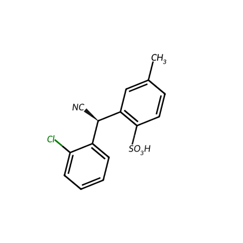 Cc1ccc(S(=O)(=O)O)c([C@H](C#N)c2ccccc2Cl)c1